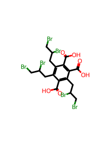 O=C(O)c1c(CC(Br)CBr)c(CC(Br)CBr)c(C(=O)O)c(C(=O)O)c1CC(Br)CBr